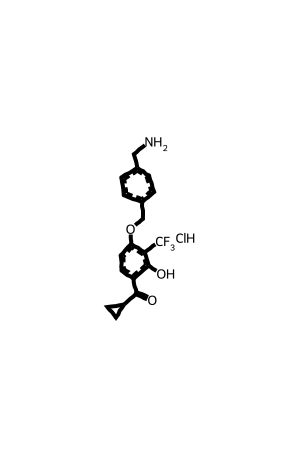 Cl.NCc1ccc(COc2ccc(C(=O)C3CC3)c(O)c2C(F)(F)F)cc1